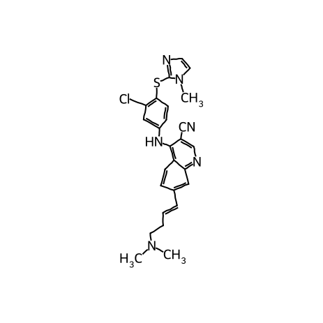 CN(C)CC/C=C/c1ccc2c(Nc3ccc(Sc4nccn4C)c(Cl)c3)c(C#N)cnc2c1